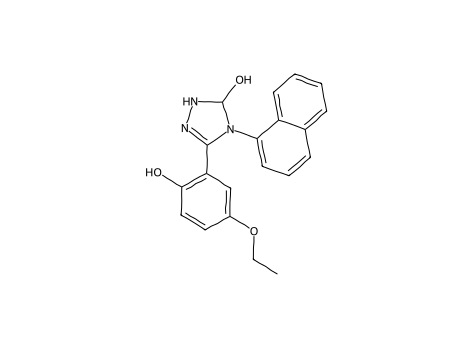 CCOc1ccc(O)c(C2=NNC(O)N2c2cccc3ccccc23)c1